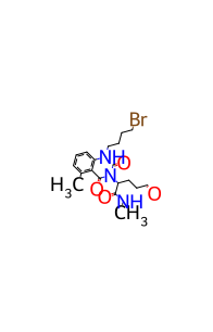 CNC(=O)C(CCC=O)N(C=O)C(=O)c1c(C)cccc1NCCCCBr